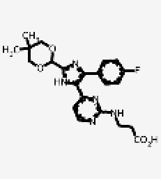 CC1(C)COC(c2nc(-c3ccc(F)cc3)c(-c3ccnc(NCCC(=O)O)n3)[nH]2)OC1